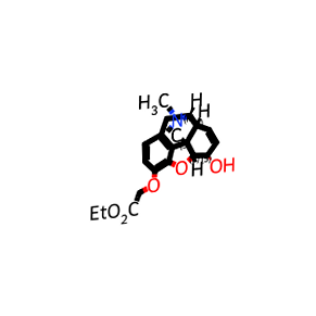 CCOC(=O)COc1ccc2c3c1O[C@H]1[C@@H](O)C=C[C@H]4[C@@H](C2)N(C)CC[C@@]341